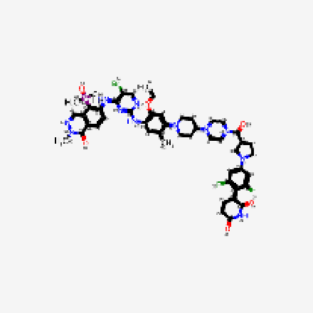 CCOc1cc(N2CCC(N3CCN(C(=O)C4CCN(c5cc(F)c(C6CCC(=O)NC6=O)c(F)c5)C4)CC3)CC2)c(C)cc1Nc1ncc(Br)c(Nc2ccc3c(=O)n(C)ncc3c2P(C)(C)=O)n1